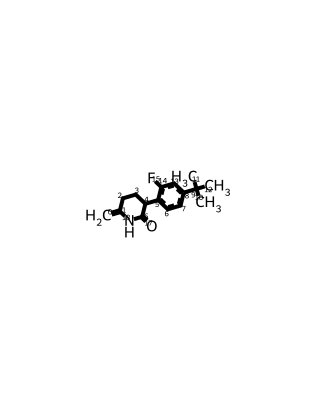 C=C1CCC(c2ccc(C(C)(C)C)cc2F)C(=O)N1